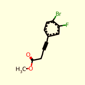 COC(=O)CC#Cc1ccc(Br)c(F)c1